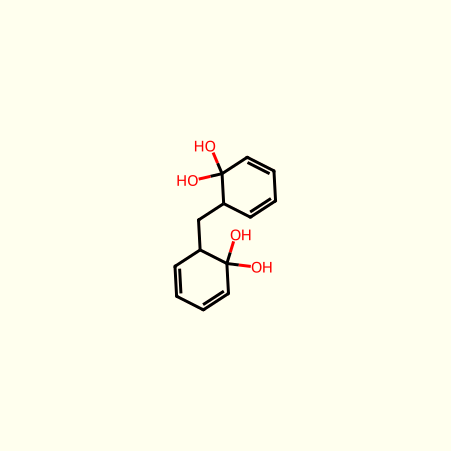 OC1(O)C=CC=CC1CC1C=CC=CC1(O)O